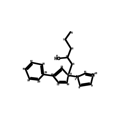 CCCC(O)CS1(n2ccnc2)C=CC(c2ccccc2)=C1